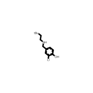 CC(C)(C)CCNCc1ccc(O)c(Cl)c1